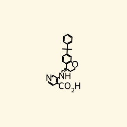 CC(C)(c1ccccc1)c1ccc2c(c1)OCC[C@H]2CNc1cnccc1C(=O)O